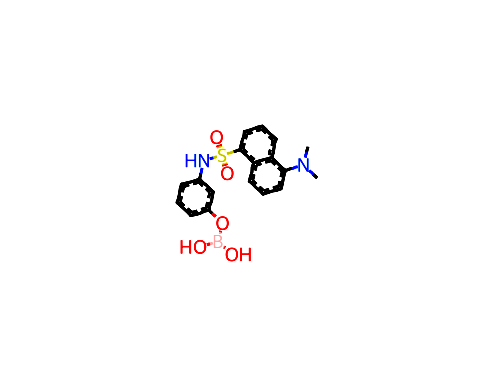 CN(C)c1cccc2c(S(=O)(=O)Nc3cccc(OB(O)O)c3)cccc12